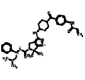 C=CC(=O)Nc1ccc(C(=O)N2CCC(Nc3n[nH]c4c3CN(C(=O)N[C@H](CN(C)C)c3ccccc3)C4(C)C)CC2)cc1